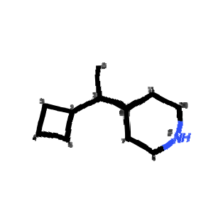 CC(C1CCC1)C1CCNCC1